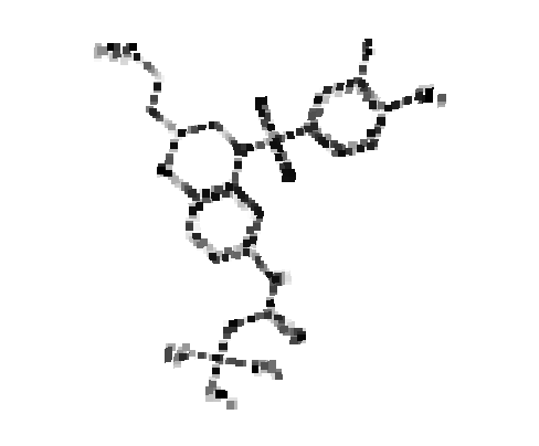 Cc1ccc(S(=O)(=O)N2CC(CCC(=O)O)Oc3ccc(NC(=O)OC(C)(C)C(F)(F)F)cc32)cc1Cl